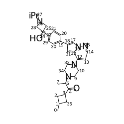 CC1CC(C(=O)C(C)N2CCN(c3ccnn4cc(-c5ccc(C6(O)CN(C(C)C)C6)cc5)cc34)CC2)C1